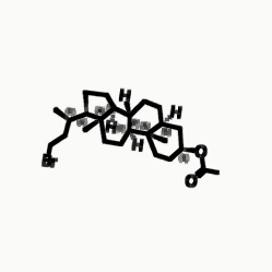 CC(=O)O[C@H]1CC[C@@]2(C)[C@@H](CC[C@@H]3[C@@H]2CC[C@]2(C)[C@@H]([C@H](C)CCBr)CC[C@@H]32)C1